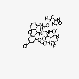 CCOc1cc(Cl)cc(Cl)c1C1=NC(NC(=O)c2cc(F)cnc2OCc2nc(C)no2)C(=O)Nc2ccccc21